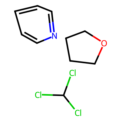 C1CCOC1.ClC(Cl)Cl.c1ccncc1